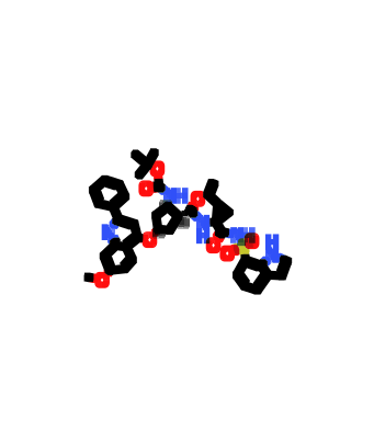 C=CC1CC1(NC(=O)[C@@H]1C[C@@H](Oc2cc(-c3ccccc3)nc3cc(OC)ccc23)C[C@@H]1NC(=O)OC(C)(C)C)C(=O)NS(=O)(=O)c1cccc2cc[nH]c12